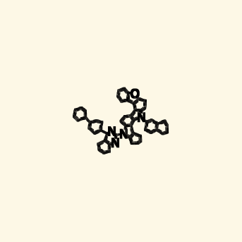 c1ccc(-c2ccc(-c3nc(-n4c5ccccc5c5c4ccc4c6c7c(ccc6n(-c6ccc8ccccc8c6)c45)oc4ccccc47)nc4ccccc34)cc2)cc1